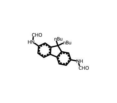 CCCCC1(CCCC)c2cc(NC=O)ccc2-c2ccc(NC=O)cc21